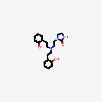 O=C1NCCN1CCN(C=Cc1ccccc1O)C=Cc1ccccc1O